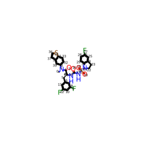 CN(C(=O)[C@H](Cc1cc(F)cc(F)c1)NC(=O)NS(=O)(=O)N1CCc2cc(F)ccc21)c1ccc2sccc2c1